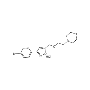 Brc1ccc(-c2cc(COCCN3CCOCC3)on2)cc1.Cl